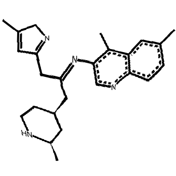 CC1=CC(C/C(C[C@@H]2CCN[C@H](C)C2)=N/c2cnc3ccc(C)cc3c2C)=NC1